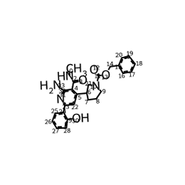 CNC(=O)c1c(C2CCCN(C(=O)OCc3ccccc3)C2)cc(-c2ccccc2O)nc1N